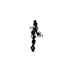 CC(C)(C)c1ccc(C(=O)N[C@@H](Cc2ccc(-c3ncc(-c4ccc(OCC5CCC(C(C)(C)C)CC5)cc4)cn3)cc2)C(=O)NCCC(=O)O)cc1